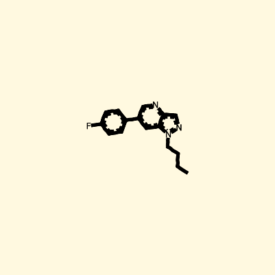 CCCCn1ncc2ncc(-c3ccc(F)cc3)cc21